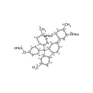 CCCCCCOc1ccc(C2(c3ccc(C)cc3)c3cc(C)ccc3-c3ccc(-c4cc(CCCCCC)c(C)cc4CCCCCC)cc32)cc1